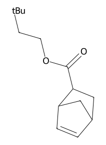 CC(C)(C)CCOC(=O)C1CC2C=CC1C2